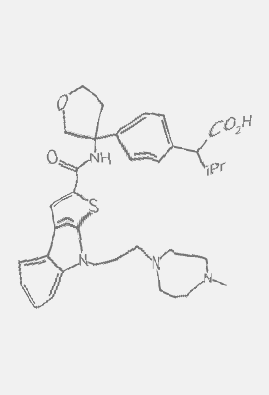 CC(C)C(C(=O)O)c1ccc(C2(NC(=O)c3cc4c5ccccc5n(CCN5CCN(C)CC5)c4s3)CCOC2)cc1